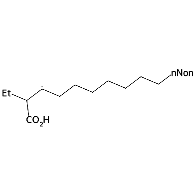 CCCCCCCCCCCCCCCC[CH]C(CC)C(=O)O